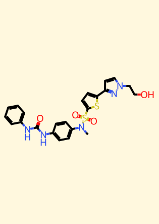 CN(c1ccc(NC(=O)Nc2ccccc2)cc1)S(=O)(=O)c1ccc(-c2ccn(CCO)n2)s1